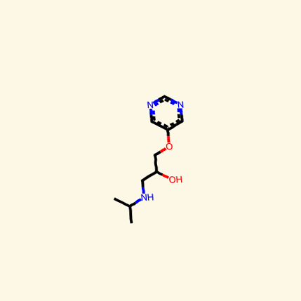 CC(C)NCC(O)COc1cncnc1